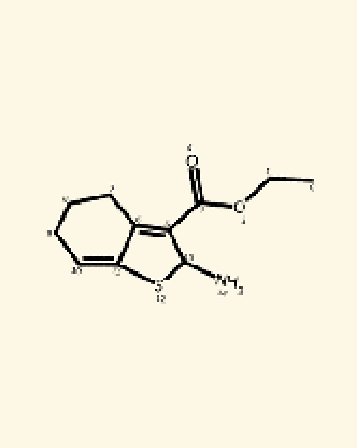 CCOC(=O)C1=C2CCCC=C2SC1N